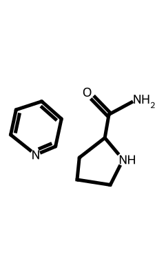 NC(=O)C1CCCN1.c1ccncc1